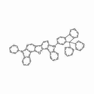 c1ccc(-n2c3ccccc3c3c4oc5c(ccc6c5c5ccccc5n6-c5ccc6c(c5)C(c5ccccc5)(c5ccccc5)c5ccccc5-6)c4ccc32)cc1